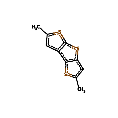 Cc1cc2c(s1)sc1cc(C)sc12